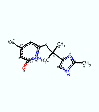 Cc1nc(C(C)(C)Cc2cc(C(C)(C)C)cc(=O)[nH]2)c[nH]1